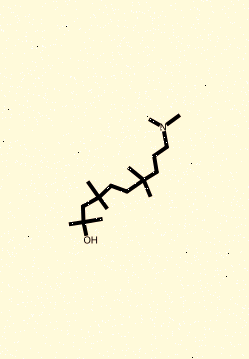 CN(C)CCCC(C)(C)CCC(C)(C)CC(C)(C)O